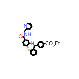 CCOC(=O)c1ccc(C2=Nc3cc(C(=O)NCc4ccccn4)ccc3Sc3ccccc32)cc1